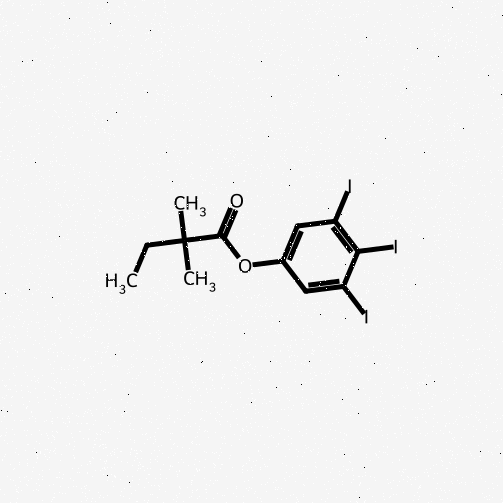 CCC(C)(C)C(=O)Oc1cc(I)c(I)c(I)c1